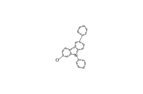 Clc1ccc2c3cc(-c4ccccc4)ccc3n(-c3ccccc3)c2c1